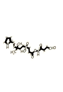 CC(C)(CCP(=O)(O)CCC(=O)ONC(=O)CCC=O)SSc1ccc[nH]1